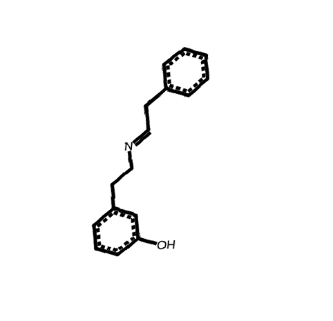 Oc1cccc(CC/N=C/Cc2ccccc2)c1